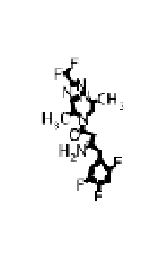 CC1c2nc(C(F)F)nn2C(C)CN1C(=O)C[C@H](N)Cc1cc(F)c(F)cc1F